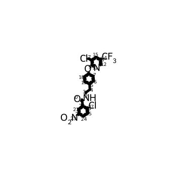 O=C(NCCc1ccc(Oc2ncc(C(F)(F)F)cc2Cl)cc1)c1cc([N+](=O)[O-])ccc1Cl